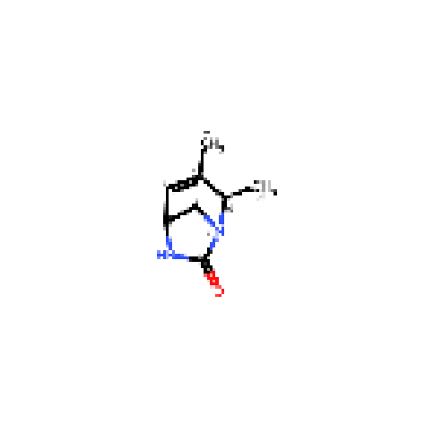 CC1=CC2CN(C(=O)N2)[C@@H]1C